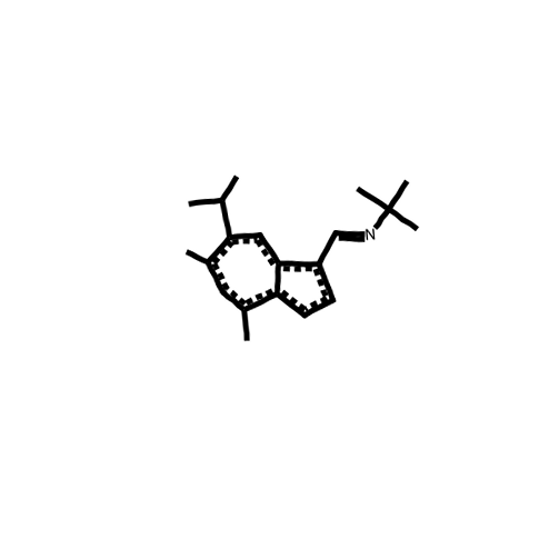 Cc1cc(C)c(C(C)C)cc2c(C=NC(C)(C)C)ccc1-2